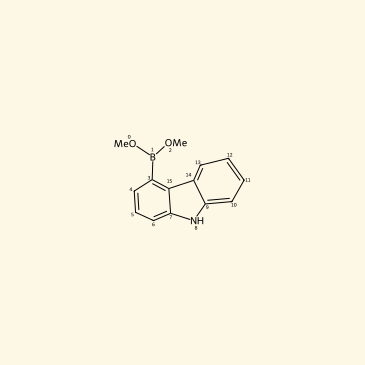 COB(OC)c1cccc2[nH]c3ccccc3c12